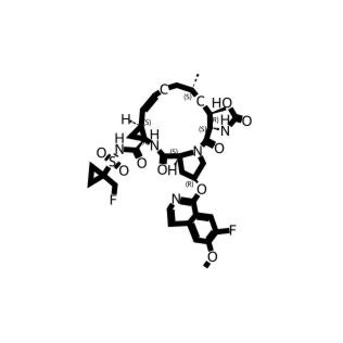 COc1cc2ccnc(O[C@@H]3C[C@H]4C(=O)N[C@]5(C(=O)NS(=O)(=O)C6(CF)CC6)C[C@H]5C=CCC[C@H](C)C[C@@H](C)[C@H](NC(=O)O)C(=O)N4C3)c2cc1F